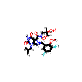 COc1c(F)cc(F)cc1Cn1cc2c(c1C(=O)N1C[C@](C)(O)CO1)c(=O)n(C)c(=O)n2CC(C)C